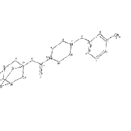 Cc1cccc(CN2CCN(C(=O)CC34CC5CC(C3)C(C5)C4)CC2)c1